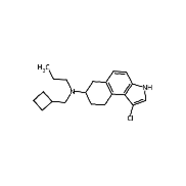 CCCN(CC1CCC1)C1CCc2c(ccc3[nH]cc(Cl)c23)C1